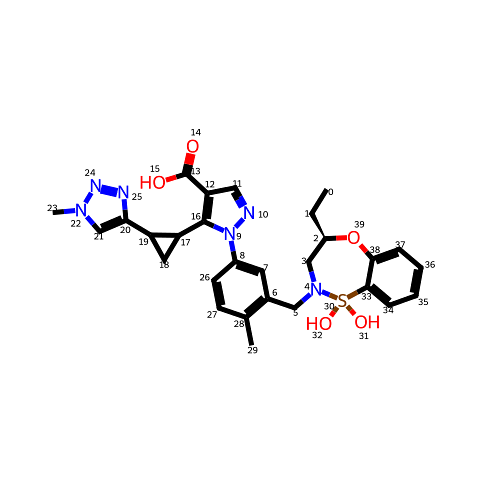 CC[C@@H]1CN(Cc2cc(-n3ncc(C(=O)O)c3C3CC3c3cn(C)nn3)ccc2C)S(O)(O)c2ccccc2O1